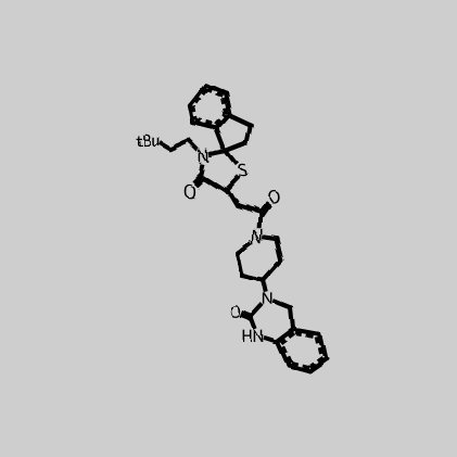 CC(C)(C)CCN1C(=O)C(CC(=O)N2CCC(N3Cc4ccccc4NC3=O)CC2)SC12CCc1ccccc12